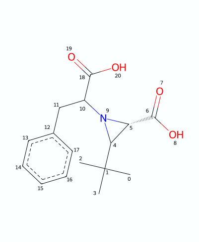 CC(C)(C)C1[C@@H](C(=O)O)N1C(Cc1ccccc1)C(=O)O